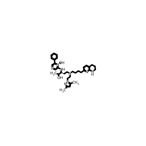 Cc1cc(C)n(CCN(CCCCc2ccc3c(n2)NCCC3)CC[C@H](Nc2cncc(-c3ccccc3)[n+]2O)C(C)O)n1